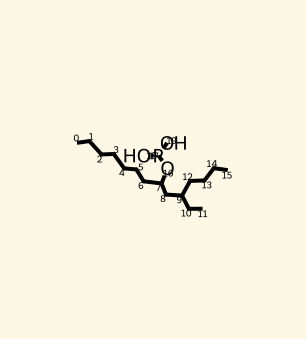 CCCCCCCC(CC(CC)CCCC)OP(O)O